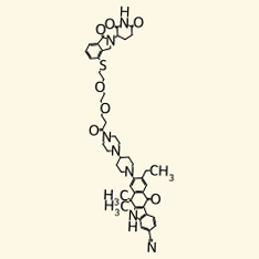 CCc1cc2c(cc1N1CCC(N3CCN(C(=O)CCOCCOCCSc4cccc5c4CN(C4CCC(=O)NC4=O)C5=O)CC3)CC1)C(C)(C)c1[nH]c3cc(C#N)ccc3c1C2=O